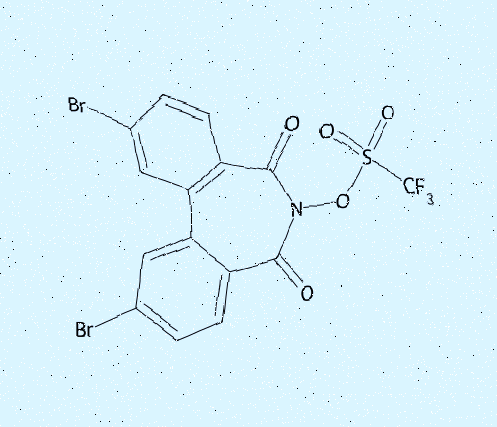 O=c1c2ccc(Br)cc2c2cc(Br)ccc2c(=O)n1OS(=O)(=O)C(F)(F)F